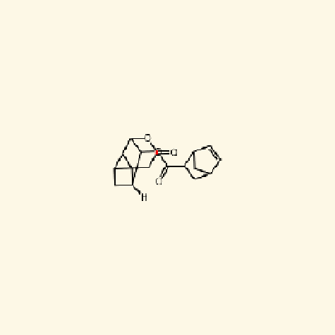 O=C1CC23C4C[C@H]2C(OC(=O)C2CC5C=CC2C5)C(O1)C43